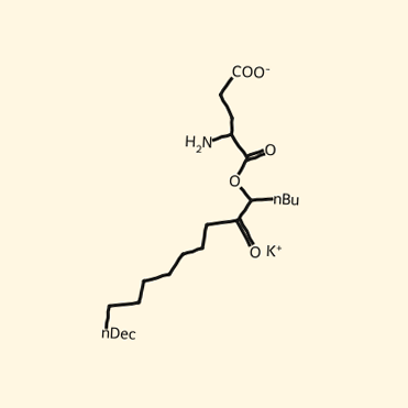 CCCCCCCCCCCCCCCCCC(=O)C(CCCC)OC(=O)C(N)CCC(=O)[O-].[K+]